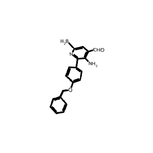 Bc1cc(C=O)c(N)c(-c2ccc(OCc3ccccc3)cc2)n1